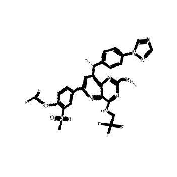 C[C@H](c1ccc(-n2cncn2)cc1)c1cc(-c2ccc(OC(F)F)c(S(C)(=O)=O)c2)nc2c(NCC(F)(F)F)nc(N)nc12